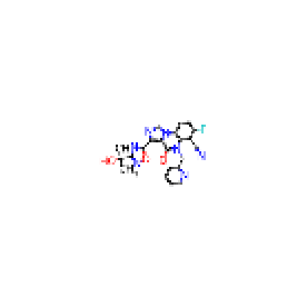 CC(C)(O)c1noc(-c2ncn3c2c(=O)n(Cc2ccccn2)c2c(C#N)c(F)ccc23)n1